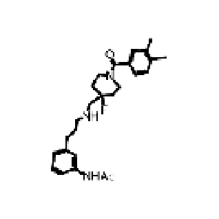 CC(=O)Nc1cccc(CCCNCC2(F)CCN(C(=O)c3ccc(C)c(C)c3)CC2)c1